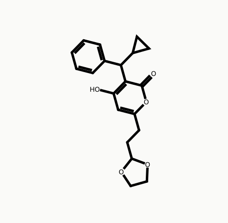 O=c1oc(CCC2OCCO2)cc(O)c1C(c1ccccc1)C1CC1